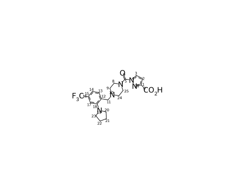 O=C(O)c1ccn(C(=O)N2CCN(Cc3ccc(C(F)(F)F)cc3N3CCCC3)CC2)n1